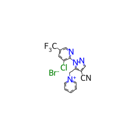 N#Cc1cnn(-c2ncc(C(F)(F)F)cc2Cl)c1C[n+]1ccccc1.[Br-]